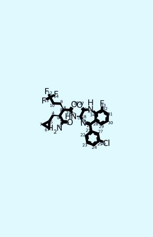 NC(=O)[C@@H](CC1CC1)[C@@H](CCC(F)(F)F)C(=O)N[C@H]1N=C(c2cccc(Cl)c2)c2cccc(F)c2NC1=O